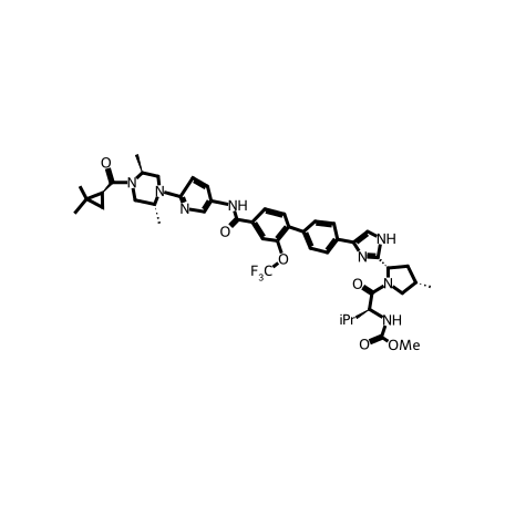 COC(=O)N[C@H](C(=O)N1C[C@@H](C)C[C@H]1c1nc(-c2ccc(-c3ccc(C(=O)Nc4ccc(N5C[C@H](C)N(C(=O)[C@H]6CC6(C)C)C[C@H]5C)nc4)cc3OC(F)(F)F)cc2)c[nH]1)C(C)C